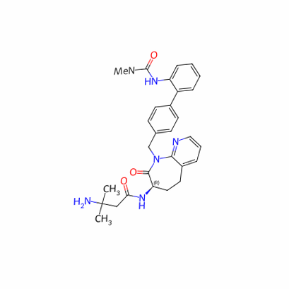 CNC(=O)Nc1ccccc1-c1ccc(CN2C(=O)[C@H](NC(=O)CC(C)(C)N)CCc3cccnc32)cc1